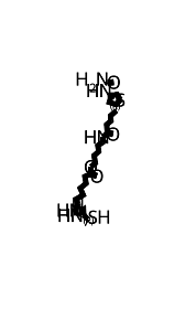 C[C@@H](S)C1CN(CCCCCC(=O)OCCCCCNC(=O)CCCC[C@@H]2C[C@@H](NC(N)=O)CS2)NN1